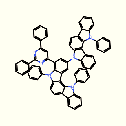 c1ccc(-c2cc(-c3cc(-n4c5ccccc5c5c4ccc4c6ccccc6n(-c6ccccc6)c45)cc4c5c(ccc6c7ccccc7n(-c7ccccc7)c65)n(-c5ccccc5)c34)nc(-c3ccccc3)n2)cc1